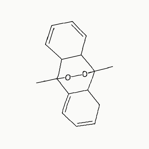 CC12OOC(C)(C3CC=CC=C31)C1C=CC=CC12